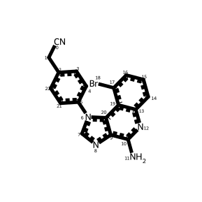 N#CCc1ccc(-n2cnc3c(N)nc4cccc(Br)c4c32)cc1